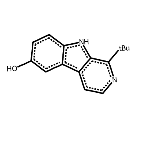 CC(C)(C)c1nccc2c1[nH]c1ccc(O)cc12